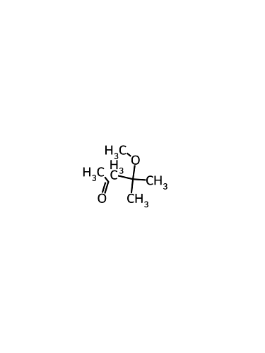 CC=O.COC(C)(C)C